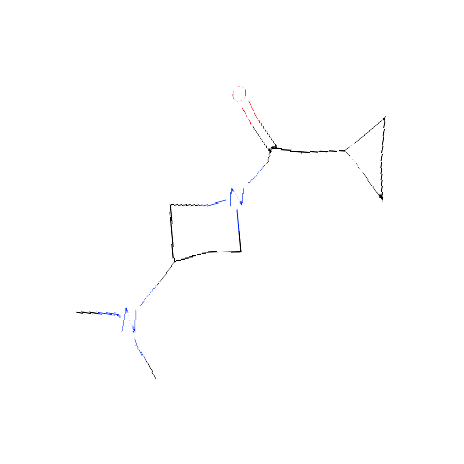 CN(C)C1CN(C(=O)C2CC2)C1